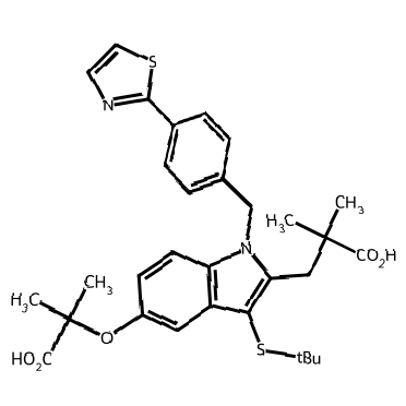 CC(C)(C)Sc1c(CC(C)(C)C(=O)O)n(Cc2ccc(-c3nccs3)cc2)c2ccc(OC(C)(C)C(=O)O)cc12